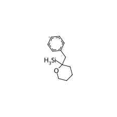 [SiH3]C1(Cc2cc[c]cc2)CCCCO1